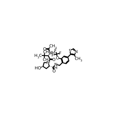 CC(=O)N[C@H](C(=O)N1C[C@H](O)C[C@H]1C(=O)NCc1ccc(-c2scnc2C)cc1OC(F)(F)F)C(C)(C)C